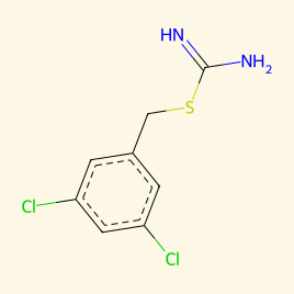 N=C(N)SCc1cc(Cl)cc(Cl)c1